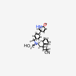 C[C@@H](c1ccc(-c2ccc(=O)[nH]c2)cc1)N(CC[C@H](CC(C)(C)C#N)c1ccccc1)C(=O)O